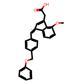 COc1cccc2c1C(CC(=O)O)=C/C2=C/c1ccc(COc2ccccc2)cc1